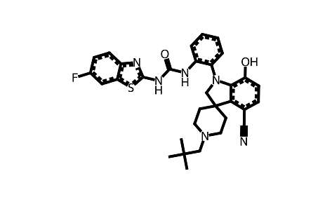 CC(C)(C)CN1CCC2(CC1)CN(c1ccccc1NC(=O)Nc1nc3ccc(F)cc3s1)c1c(O)ccc(C#N)c12